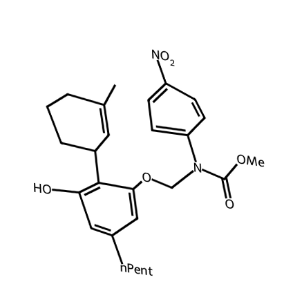 CCCCCc1cc(O)c(C2C=C(C)CCC2)c(OCN(C(=O)OC)c2ccc([N+](=O)[O-])cc2)c1